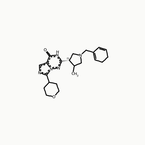 CC1CN(CC2=CCCC=C2)C[C@H]1c1nn2c(C3CCOCC3)ncc2c(=O)[nH]1